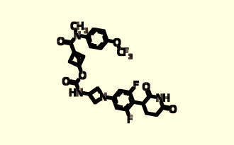 CN(C(=O)C12CC(OC(=O)NC3CN(c4cc(F)c(C5CCC(=O)NC5=O)c(F)c4)C3)(C1)C2)c1ccc(OC(F)(F)F)cc1